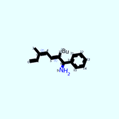 C=C/C(C)=C\C=C(/C(C)CC)C(N)c1ccccc1